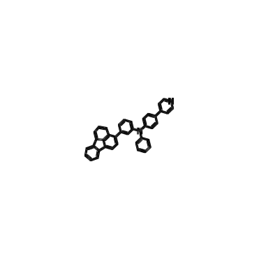 c1ccc(N(c2ccc(-c3ccncc3)cc2)c2cccc(-c3ccc4c5c(cccc35)-c3ccccc3-4)c2)cc1